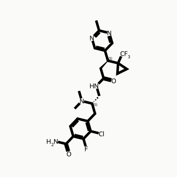 Cc1ncc([C@H](CC(=O)NC[C@H](Cc2ccc(C(N)=O)c(F)c2Cl)N(C)C)C2(C(F)(F)F)CC2)cn1